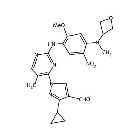 COc1cc(N(C)C2COC2)c([N+](=O)[O-])cc1Nc1ncc(C)c(-n2cc(C=O)c(C3CC3)n2)n1